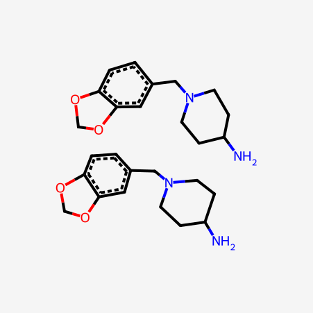 NC1CCN(Cc2ccc3c(c2)OCO3)CC1.NC1CCN(Cc2ccc3c(c2)OCO3)CC1